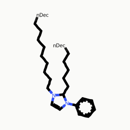 CCCCCCCCCCCCCCCCCCCN1C=CN(c2ccccc2)C1CCCCCCCCCCCCCCC